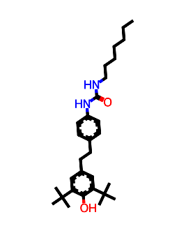 CCCCCCCNC(=O)Nc1ccc(CCc2cc(C(C)(C)C)c(O)c(C(C)(C)C)c2)cc1